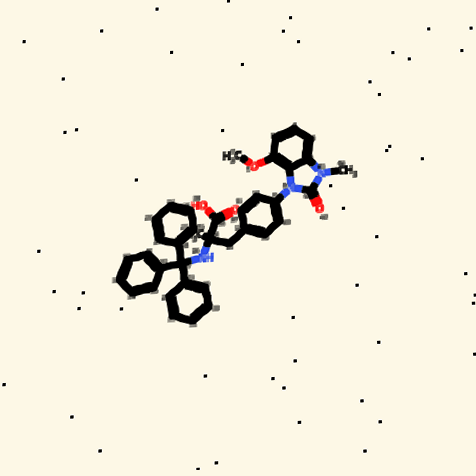 COc1cccc2c1n(-c1ccc(CC(C)(NC(c3ccccc3)(c3ccccc3)c3ccccc3)C(=O)O)cc1)c(=O)n2C